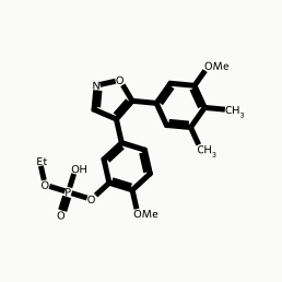 CCOP(=O)(O)Oc1cc(-c2cnoc2-c2cc(C)c(C)c(OC)c2)ccc1OC